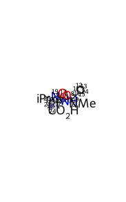 CC[C@H](NC(=O)[C@@H](NC)C(C)(C)c1ccccc1)C(=O)N(C)[C@H](/C=C(\C)C(=O)O)C(C)C